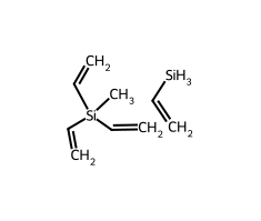 C=C[SiH3].C=C[Si](C)(C=C)C=C